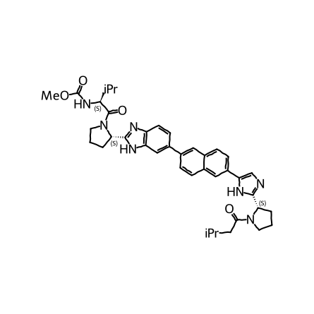 COC(=O)N[C@H](C(=O)N1CCC[C@H]1c1nc2ccc(-c3ccc4cc(-c5cnc([C@@H]6CCCN6C(=O)CC(C)C)[nH]5)ccc4c3)cc2[nH]1)C(C)C